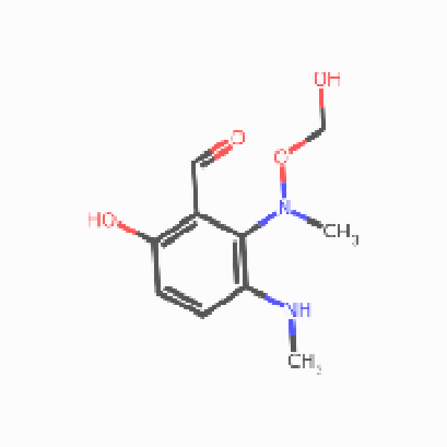 CNc1ccc(O)c(C=O)c1N(C)OCO